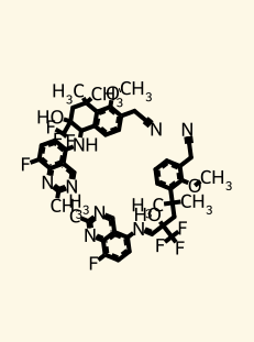 COc1c(CC#N)ccc2c1C(C)(C)CC(O)(C(F)(F)F)C2Nc1ccc(F)c2nc(C)ncc12.COc1c(CC#N)cccc1C(C)(C)CC(O)(C=Nc1ccc(F)c2nc(C)ncc12)C(F)(F)F